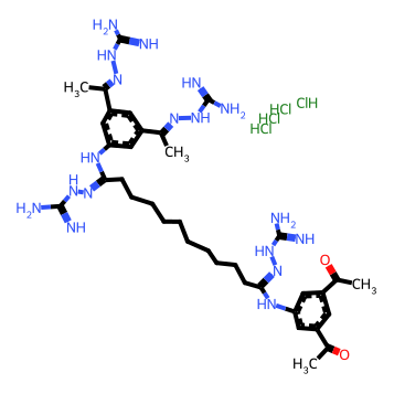 CC(=O)c1cc(NC(CCCCCCCCCCC(=NNC(=N)N)Nc2cc(C(C)=NNC(=N)N)cc(C(C)=NNC(=N)N)c2)=NNC(=N)N)cc(C(C)=O)c1.Cl.Cl.Cl.Cl